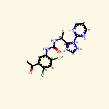 CC(=O)c1cc(NC(=O)NC(C)c2ncnn2-c2ncccn2)c(Cl)cc1Cl